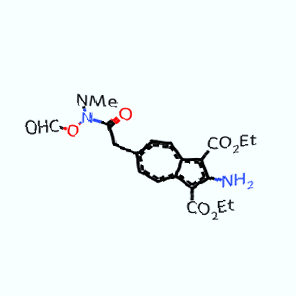 CCOC(=O)c1c2ccc(CC(=O)N(NC)OC=O)ccc-2c(C(=O)OCC)c1N